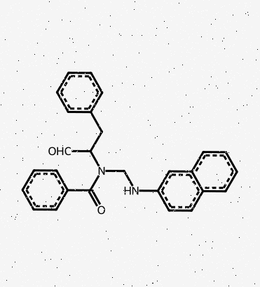 O=CC(Cc1ccccc1)N(CNc1ccc2ccccc2c1)C(=O)c1ccccc1